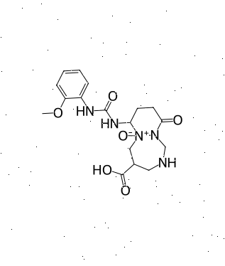 COc1ccccc1NC(=O)NC1CCC(=O)N2CNCC(C(=O)O)C[N+]12[O-]